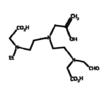 C=C(O)CN(CCN(CC)CC(=O)O)CCN(CC=O)CC(=O)O